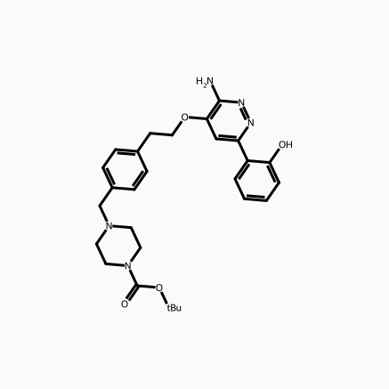 CC(C)(C)OC(=O)N1CCN(Cc2ccc(CCOc3cc(-c4ccccc4O)nnc3N)cc2)CC1